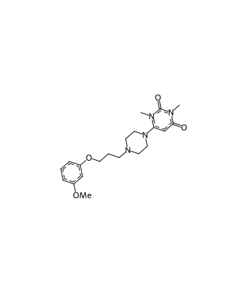 COc1cccc(OCCCN2CCN(c3cc(=O)n(C)c(=O)n3C)CC2)c1